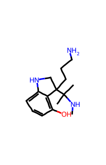 CNC(C)(C)C1(CCCN)CNc2cccc(O)c21